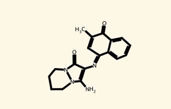 CC1=C/C(=N\c2c(N)n3n(c2=O)CCCC3)c2ccccc2C1=O